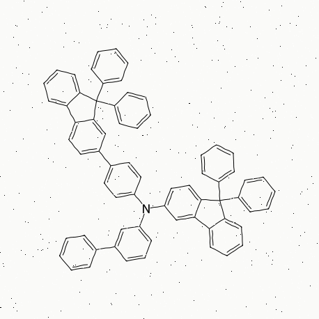 c1ccc(-c2cccc(N(c3ccc(-c4ccc5c(c4)C(c4ccccc4)(c4ccccc4)c4ccccc4-5)cc3)c3ccc4c(c3)-c3ccccc3C4(c3ccccc3)c3ccccc3)c2)cc1